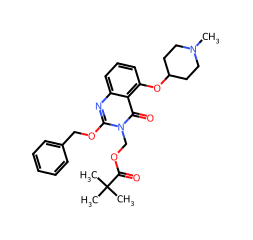 CN1CCC(Oc2cccc3nc(OCc4ccccc4)n(COC(=O)C(C)(C)C)c(=O)c23)CC1